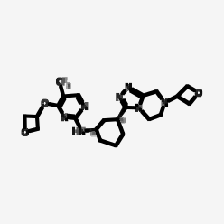 FC(F)(F)c1cnc(N[C@@H]2CCC[C@H](c3nnc4n3CCN(C3COC3)C4)C2)nc1OC1COC1